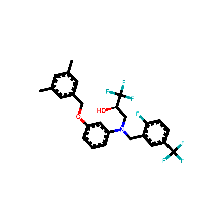 Cc1cc(C)cc(COc2cccc(N(Cc3cc(C(F)(F)F)ccc3F)C[C@@H](O)C(F)(F)F)c2)c1